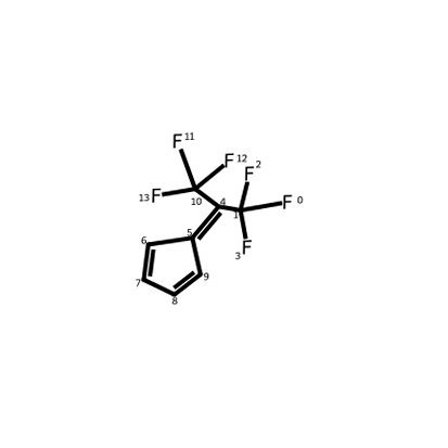 FC(F)(F)C(=C1C=CC=C1)C(F)(F)F